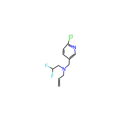 C=CCN(Cc1ccc(Cl)nc1)CC(F)F